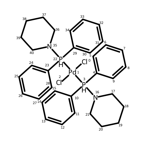 [Cl][Pd]([Cl])([PH](c1ccccc1)(c1ccccc1)N1CCCCC1)[PH](c1ccccc1)(c1ccccc1)N1CCCCC1